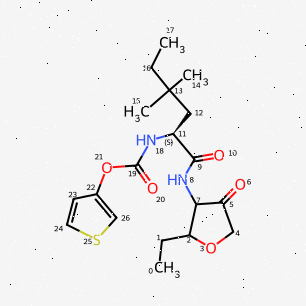 CCC1OCC(=O)C1NC(=O)[C@H](CC(C)(C)CC)NC(=O)Oc1ccsc1